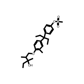 CCC(CC)(c1ccc(OS(C)(=O)=O)cc1)c1ccc(OCC(C)C(C)(O)CC)c(C)c1